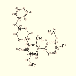 Cc1c(-c2ccc(F)c(CN)c2)nn(CC(C)C)c(=O)c1N1CCN(Cc2ccccc2)CC1